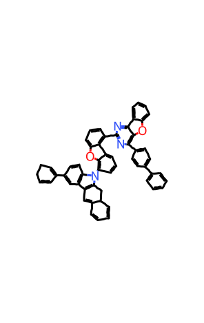 C1=CC2=Cc3c(n(-c4cccc5c4oc4cccc(-c6nc(-c7ccc(-c8ccccc8)cc7)c7oc8ccccc8c7n6)c45)c4ccc(C5=CCCC=C5)cc34)CC2C=C1